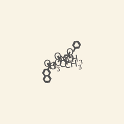 CC(C)(C)N(CC(=O)OCc1ccccc1)C(=O)OCOC(=O)c1ccc2ccccc2c1